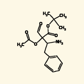 CC(=O)OC(C=O)(C(=O)OC(C)(C)C)C(N)Cc1ccccc1